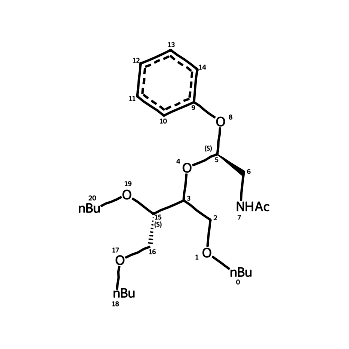 CCCCOCC(O[C@H](CNC(C)=O)Oc1ccccc1)[C@H](COCCCC)OCCCC